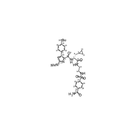 CNc1nc(C(=O)N[C@H](CC2CC2)C(=O)NCCNS(=O)(=O)c2ccc(C(N)=O)cc2)c(-c2ccc(C(C)(C)C)cc2)s1